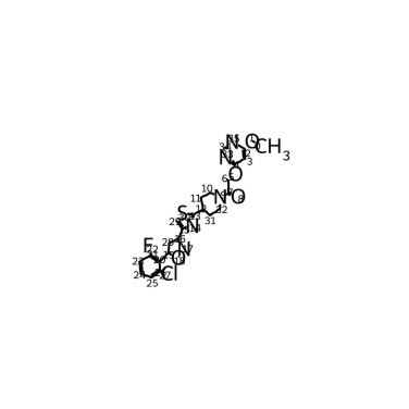 COc1cc(OCC(=O)N2CCC(c3nc(C4=NOC(c5c(F)cccc5Cl)C4)cs3)CC2)ncn1